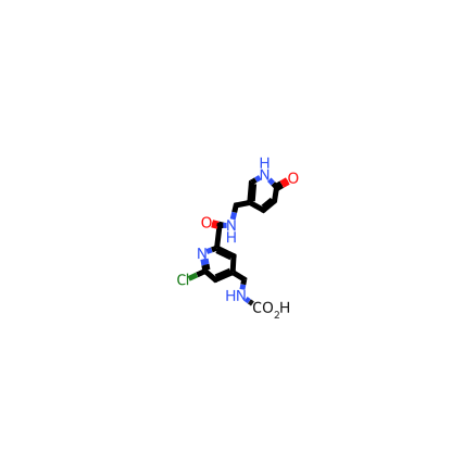 O=C(O)NCc1cc(Cl)nc(C(=O)NCc2ccc(=O)[nH]c2)c1